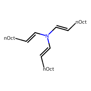 CCCCCCCCC=CN(C=CCCCCCCCC)C=CCCCCCCCC